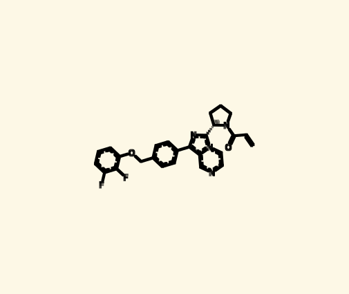 C=CC(=O)N1CCC[C@H]1c1nc(-c2ccc(COc3cccc(F)c3F)cc2)c2cnccn12